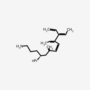 C=CC(=C\C)/C(/C=C\C(=C)C[C@@H](CCC)CCCN)=C/C